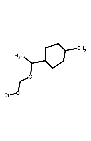 CCOCOC(C)C1CCC(C)CC1